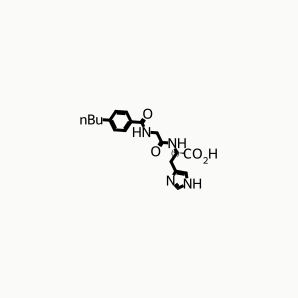 CCCCc1ccc(C(=O)NCC(=O)N[C@@H](Cc2c[nH]cn2)C(=O)O)cc1